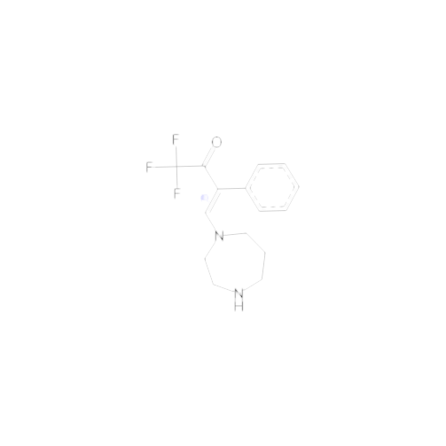 O=C(/C(=C/N1CCCNCC1)c1ccccc1)C(F)(F)F